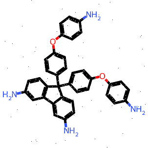 Nc1ccc(Oc2ccc(C3(c4ccc(Oc5ccc(N)cc5)cc4)c4ccc(N)cc4-c4cc(N)ccc43)cc2)cc1